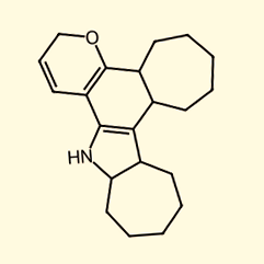 C1=CC2=C(OC1)C1CCCCCC1C1=C2NC2CCCCCC12